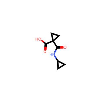 O=C(O)C1(C(=O)NC2CC2)CC1